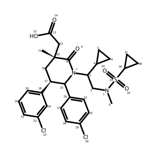 CN(CC(C1CC1)N1C(=O)[C@@](C)(CC(=O)O)C[C@H](c2cccc(Cl)c2)C1c1ccc(Cl)cc1)S(=O)(=O)C1CC1